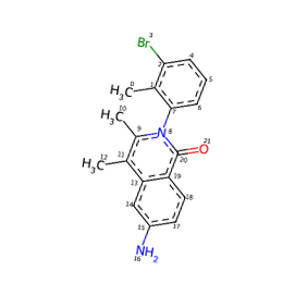 Cc1c(Br)cccc1-n1c(C)c(C)c2cc(N)ccc2c1=O